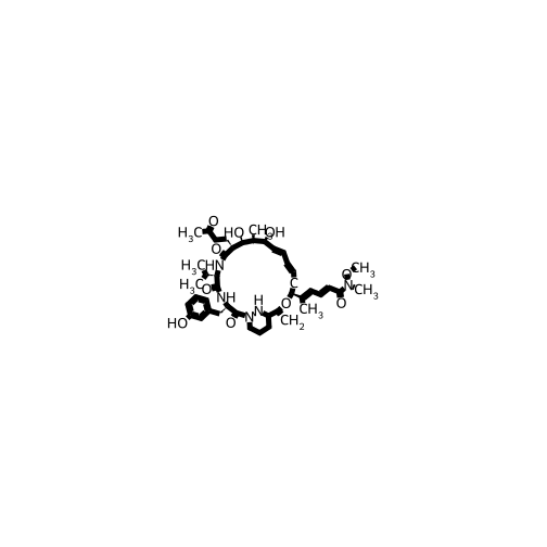 C=C1O[C@H](/C(C)=C/C=C/C(=O)N(C)OC)C/C=C/C=C/[C@H](O)[C@H](C)[C@@H](O)[C@@H](CCC(C)=O)C(=O)N[C@@H](C(C)C)C(=O)N[C@@H](Cc2cccc(O)c2)C(=O)N2CCCC1N2